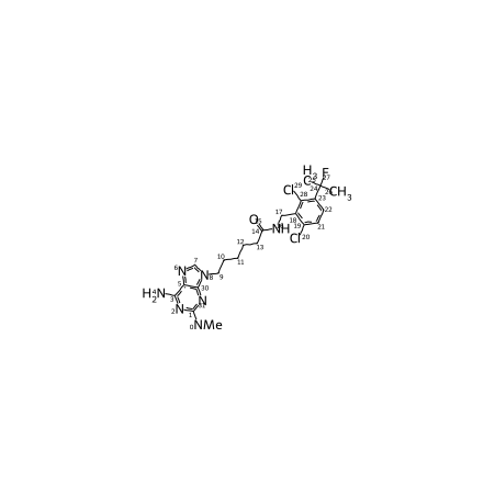 CNc1nc(N)c2ncn(CCCCCC(=O)NCc3c(Cl)ccc(C(C)(C)F)c3Cl)c2n1